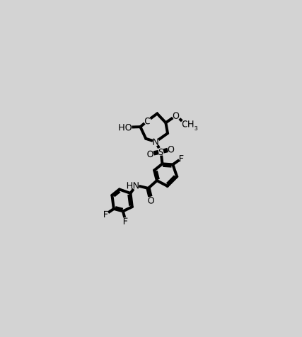 COC1CCC(O)CN(S(=O)(=O)c2cc(C(=O)Nc3ccc(F)c(F)c3)ccc2F)C1